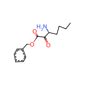 CCCC[C@H](N)C(=O)C(=O)OCc1ccccc1